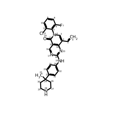 C=Cc1cn(-c2c(F)cccc2Cl)c(=O)c2cnc(Nc3ccc(C4(C)CCNCC4)cc3)nc12